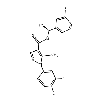 Cc1c(C(=O)N[C@H](c2cccc(Br)c2)C(C)C)cnn1-c1ccc(Cl)c(Cl)c1